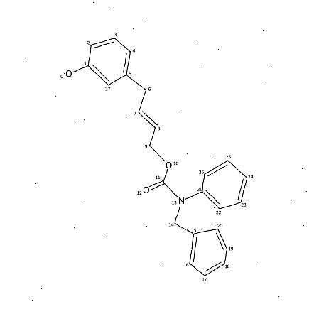 [O]c1cccc(CC=CCOC(=O)N(Cc2ccccc2)c2ccccc2)c1